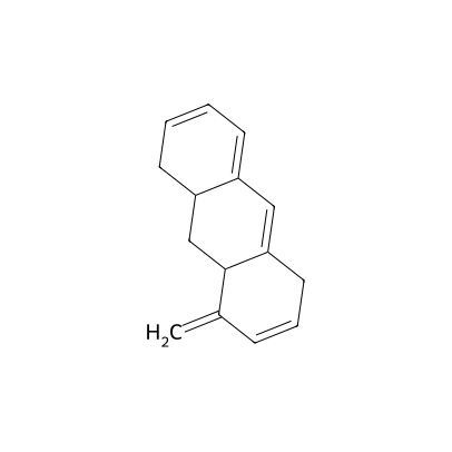 C=C1C=CCC2=CC3=CC=CCC3CC12